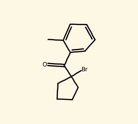 Cc1ccccc1C(=O)C1(Br)CCCC1